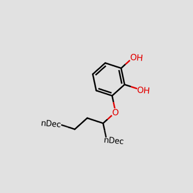 CCCCCCCCCCCCC(CCCCCCCCCC)Oc1cccc(O)c1O